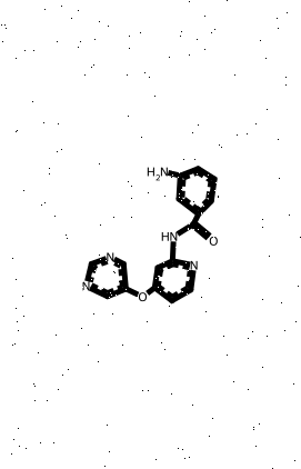 Nc1cccc(C(=O)Nc2cc(Oc3cncnc3)ccn2)c1